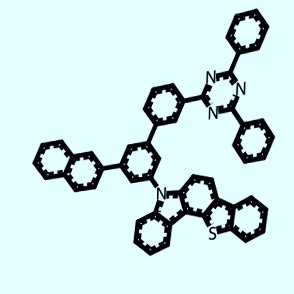 c1ccc(-c2nc(-c3ccccc3)nc(-c3cccc(-c4cc(-c5ccc6ccccc6c5)cc(-n5c6ccccc6c6c7sc8ccccc8c7ccc65)c4)c3)n2)cc1